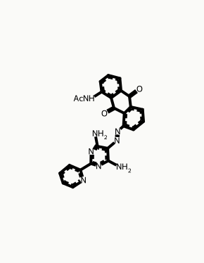 CC(=O)Nc1cccc2c1C(=O)c1c(/N=N/c3c(N)nc(-c4ccccn4)nc3N)cccc1C2=O